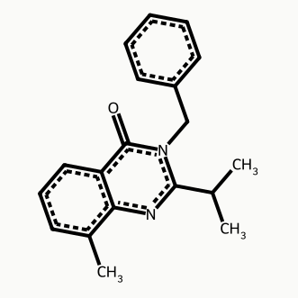 Cc1cccc2c(=O)n(Cc3ccccc3)c(C(C)C)nc12